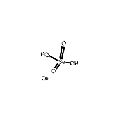 O=[Se](=O)(O)O.[Ce]